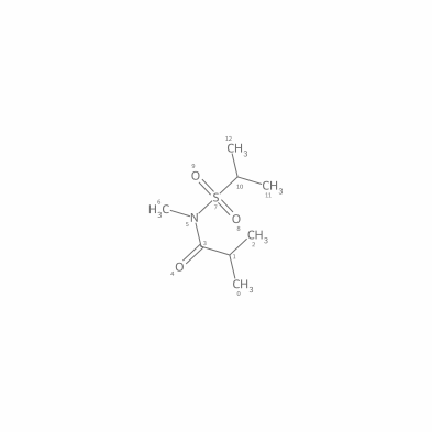 CC(C)C(=O)N(C)S(=O)(=O)C(C)C